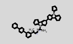 C=C(/C=C\N=C(/N)n1c2c(c3ccccc31)=CC(c1ccc3c(c1)c1ccccc1n3-c1ccccc1)CC=2)c1cccc(-c2ccc(-c3ccccc3)cc2)c1